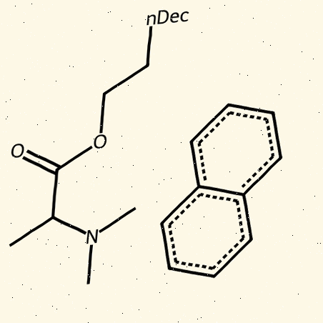 CCCCCCCCCCCCOC(=O)C(C)N(C)C.c1ccc2ccccc2c1